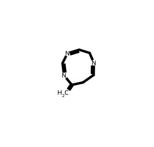 C=C1C/C=N\C/C=N\C=N/1